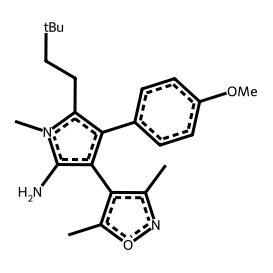 COc1ccc(-c2c(-c3c(C)noc3C)c(N)n(C)c2CCC(C)(C)C)cc1